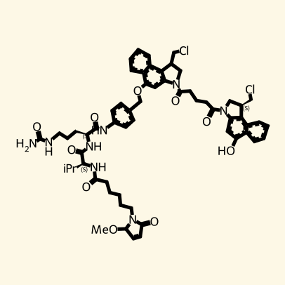 COC1C=CC(=O)N1CCCCCC(=O)N[C@H](C(=O)N[C@@H](CCCNC(N)=O)C(=O)Nc1ccc(COc2cc3c(c4ccccc24)C(CCl)CN3C(=O)CCCC(=O)N2C[C@@H](CCl)c3c2cc(O)c2ccccc32)cc1)C(C)C